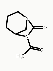 CC(=O)N1C(=O)N2CCCC1C2